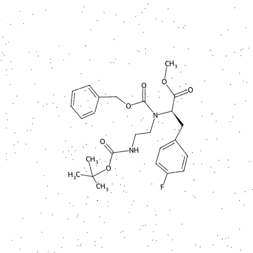 COC(=O)[C@@H](Cc1ccc(F)cc1)N(CCNC(=O)OC(C)(C)C)C(=O)OCc1ccccc1